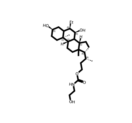 CC[C@@H]1C2C[C@H](O)CC[C@]2(C)[C@H]2CCC3(C)[C@@H]([C@H](C)CCOC(=O)NCCO)CC[C@H]3C2[C@@H]1O